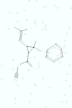 CC(C)=CC1C(C(=O)OC#N)C1(C)C.c1ccccc1